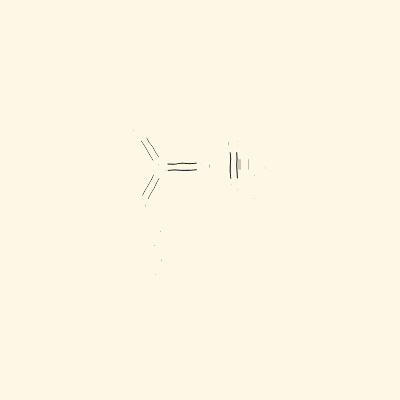 O=S(=O)=O.O=[SH2].S.S.S